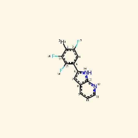 [2H]c1c(F)cc(-c2cc3cccnc3[nH]2)c(F)c1F